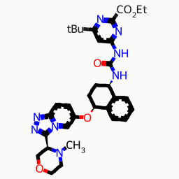 CCOC(=O)c1nc(NC(=O)N[C@H]2CC[C@@H](Oc3ccc4nnc([C@@H]5COCCN5C)n4c3)c3ccccc32)cc(C(C)(C)C)n1